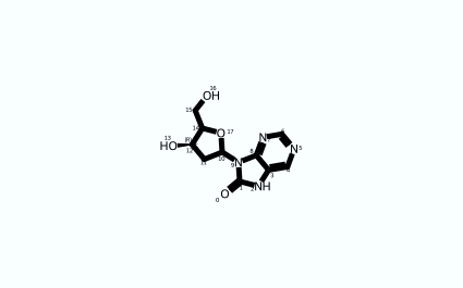 O=c1[nH]c2cncnc2n1C1C[C@@H](O)C(CO)O1